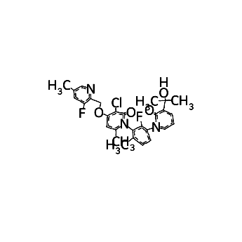 Cc1cnc(COc2cc(C)n(-c3c(C)ccc(-n4cccc(C(C)(C)O)c4=O)c3F)c(=O)c2Cl)c(F)c1